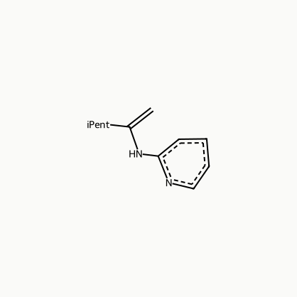 C=C(Nc1ccccn1)C(C)CCC